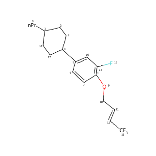 CCCC1CCC(c2ccc(OCC=CC(F)(F)F)c(F)c2)CC1